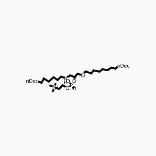 CCCCCCCCCCCCCCCCCCOCC(CNCCCCCCCCCCCCCCCC)OP(=O)([O-])OCC[N+](C)(C)C